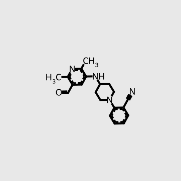 Cc1nc(C)c(NC2CCN(c3ccccc3C#N)CC2)cc1C=O